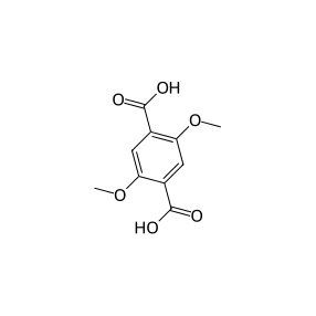 COc1cc(C(=O)O)c(OC)cc1C(=O)O